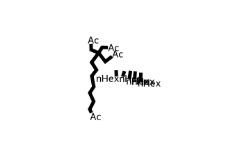 CC(=O)CCCCCCCC(CC(C)=O)(CC(C)=O)CC(C)=O.CCCCCCC.CCCCCCC.CCCCCCC.CCCCCCC.CCCCCCC